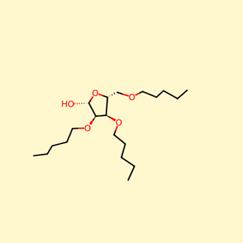 CCCCCOC[C@H]1O[C@@H](O)[C@H](OCCCCC)[C@@H]1OCCCCC